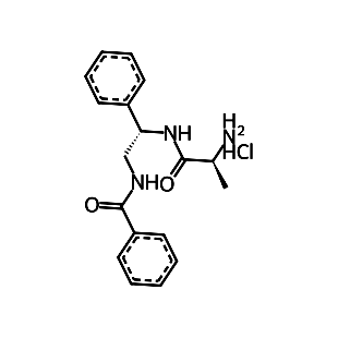 C[C@H](N)C(=O)N[C@H](CNC(=O)c1ccccc1)c1ccccc1.Cl